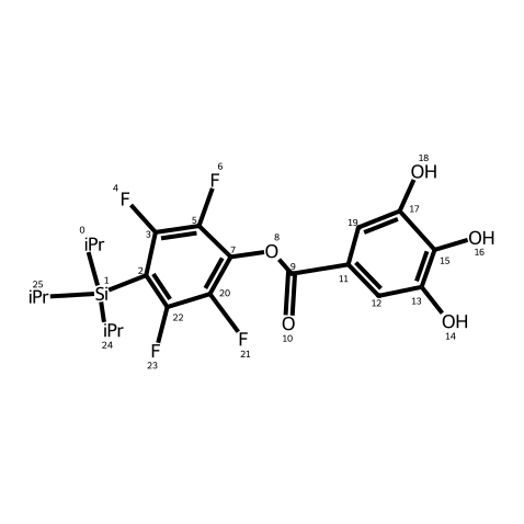 CC(C)[Si](c1c(F)c(F)c(OC(=O)c2cc(O)c(O)c(O)c2)c(F)c1F)(C(C)C)C(C)C